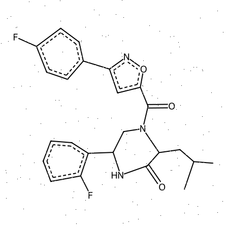 CC(C)CC1C(=O)NC(c2ccccc2F)CN1C(=O)c1cc(-c2ccc(F)cc2)no1